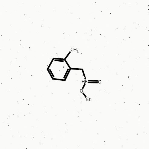 CCO[PH](=O)Cc1ccccc1C